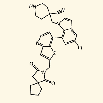 N#CC1(Cn2ccc3cc(Cl)cc(-c4ccnc5cc(CN6C(=O)CC7(CCCC7)C6=O)sc45)c32)CCNCC1